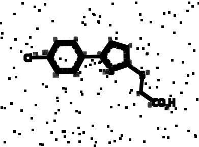 O=C(O)CSc1ccc(-c2ccc(Cl)cc2)s1